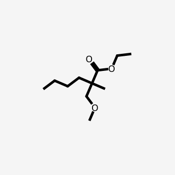 CCCCC(C)(COC)C(=O)OCC